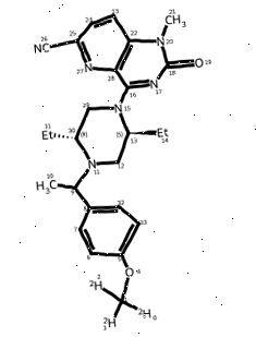 [2H]C([2H])([2H])Oc1ccc(C(C)N2C[C@H](CC)N(c3nc(=O)n(C)c4ccc(C#N)nc34)C[C@H]2CC)cc1